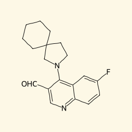 O=Cc1cnc2ccc(F)cc2c1N1CCC2(CCCCC2)C1